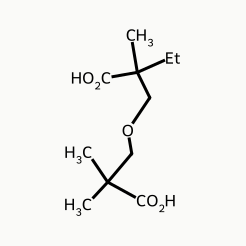 CCC(C)(COCC(C)(C)C(=O)O)C(=O)O